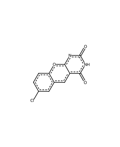 O=c1nc2oc3ccc(Cl)cc3cc-2c(=O)[nH]1